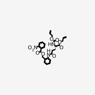 C=CCOC(=O)N[C@@H](CCC(=O)Nc1ccccc1COC(=O)c1ccccc1[N+](=O)[O-])C(=O)OCC=C